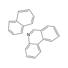 c1ccc2c(c1)cnc1ccccc12.c1ccc2ccccc2c1